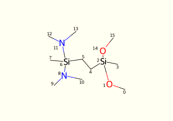 CO[Si](C)(CC[Si](C)(N(C)C)N(C)C)OC